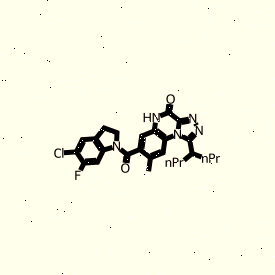 CCCC(CCC)c1nnc2c(=O)[nH]c3cc(C(=O)N4CCc5cc(Cl)c(F)cc54)c(C)cc3n12